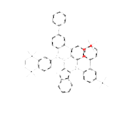 CC(C)(C)c1ccc(N2c3cc(C(C)(C)C)cc4c3B(c3oc5ccccc5c32)N(c2ccc3c(c2)C(C)(C)CCC3(C)C)c2ccc(-c3ccccc3)cc2-4)c(-c2ccccc2)c1